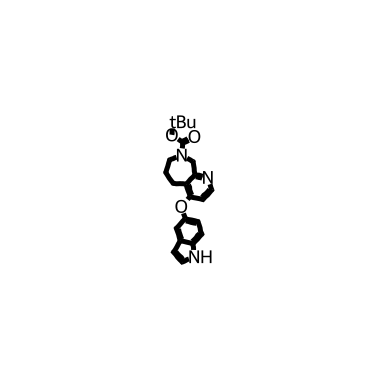 CC(C)(C)OC(=O)N1CCCc2c(Oc3ccc4[nH]ccc4c3)ccnc2C1